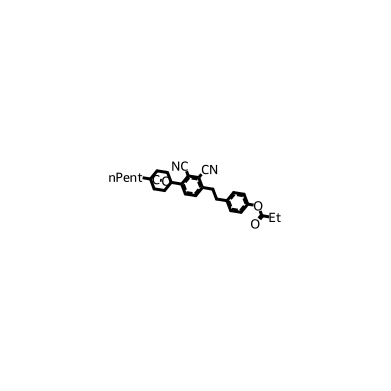 CCCCCC12CCC(c3ccc(CCc4ccc(OC(=O)CC)cc4)c(C#N)c3C#N)(CC1)CC2